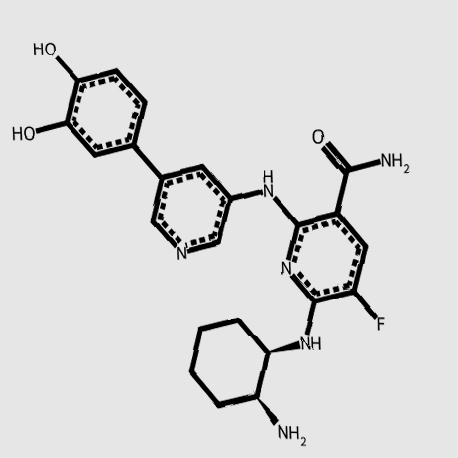 NC(=O)c1cc(F)c(N[C@@H]2CCCC[C@@H]2N)nc1Nc1cncc(-c2ccc(O)c(O)c2)c1